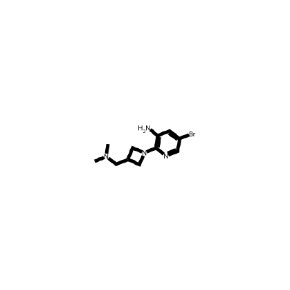 CN(C)CC1CN(c2ncc(Br)cc2N)C1